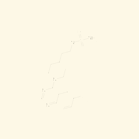 COc1ccc2ncnc(N3CCC(CCNS(N)(=O)=O)CC3)c2c1